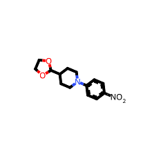 O=[N+]([O-])c1ccc(N2CCC(C3OCCO3)CC2)cc1